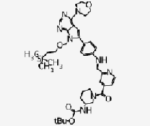 CC(C)(C)OC(=O)N[C@@H]1CCCN(C(=O)c2ccnc(CNc3ccc(-c4cc5c(N6CCOCC6)ncnc5n4COCC[Si](C)(C)C)cc3)c2)C1